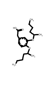 CCCCC(C)Oc1ccc(CC(=O)O)cc1OC(C)CCCC